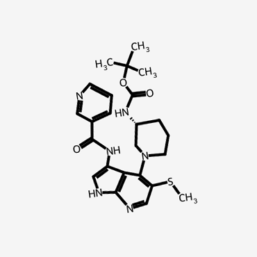 CSc1cnc2[nH]cc(NC(=O)c3cccnc3)c2c1N1CCC[C@@H](NC(=O)OC(C)(C)C)C1